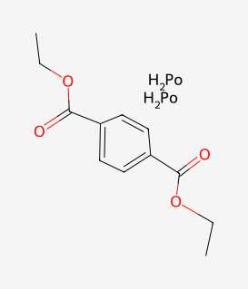 CCOC(=O)c1ccc(C(=O)OCC)cc1.[PoH2].[PoH2]